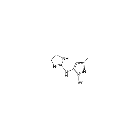 Cc1cc(NC2=NCCN2)n(C(C)C)n1